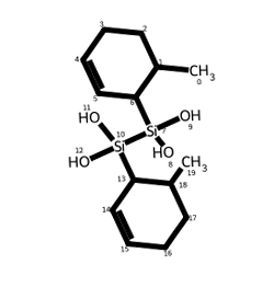 CC1CCC=CC1[Si](O)(O)[Si](O)(O)C1C=CCCC1C